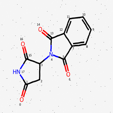 O=C1CC(N2C(=O)c3ccccc3C2=O)C(=O)N1